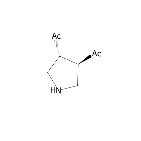 CC(=O)[C@H]1CNC[C@@H]1C(C)=O